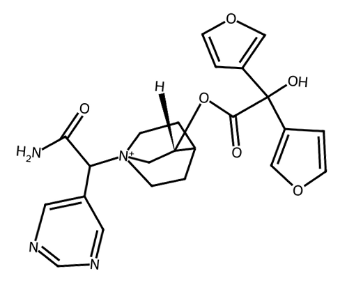 NC(=O)C(c1cncnc1)[N+]12CCC(CC1)[C@@H](OC(=O)C(O)(c1ccoc1)c1ccoc1)C2